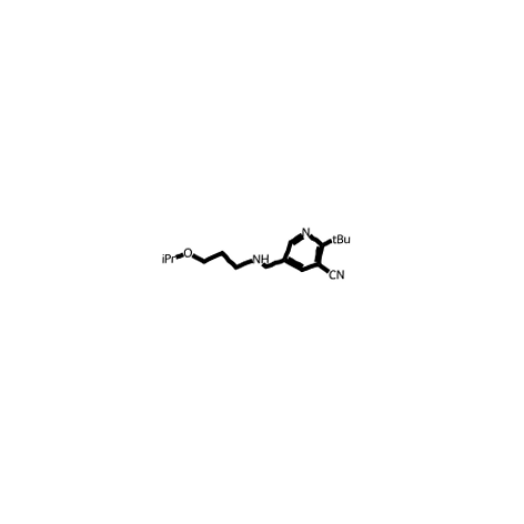 CC(C)OCCCNCc1cnc(C(C)(C)C)c(C#N)c1